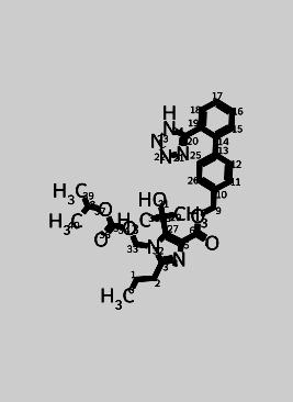 CCCc1nc(C(=O)OCc2ccc(-c3ccccc3-c3nnn[nH]3)cc2)c(C(C)(C)O)n1COC(=O)OC(C)C